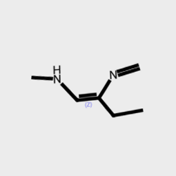 C=N/C(=C\NC)CC